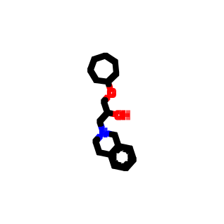 OC(COC1CCCCCC1)CN1CCc2ccccc2C1